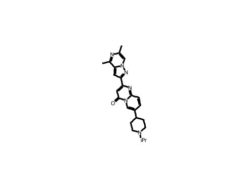 Cc1cn2nc(-c3cc(=O)n4cc(C5CCN(C(C)C)CC5)ccc4n3)cc2c(C)n1